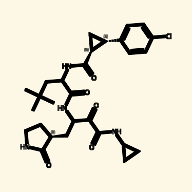 CC(C)(C)CC(NC(=O)[C@H]1C[C@@H]1c1ccc(Cl)cc1)C(=O)NC(C[C@@H]1CCNC1=O)C(=O)C(=O)NC1CC1